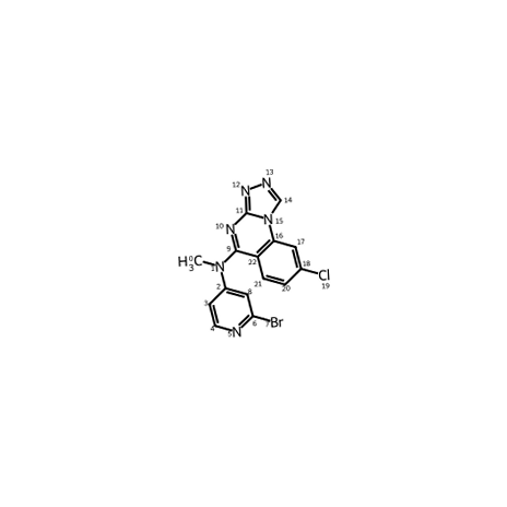 CN(c1ccnc(Br)c1)c1nc2nncn2c2cc(Cl)ccc12